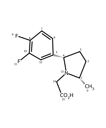 C[C@H]1CC[C@@H](c2ccc(F)c(F)c2)N1CC(=O)O